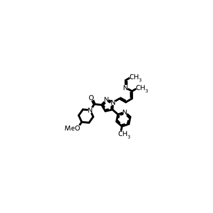 C\C=N/C(C)=C\C=C\n1nc(C(=O)N2CCC(OC)CC2)cc1-c1cc(C)ccn1